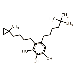 CC(C)(C)CCCCc1cc(O)c(O)c(O)c1CCCCC1(C)CC1